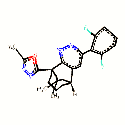 Cc1nnc([C@@]23CC[C@@H](c4cc(-c5c(F)cccc5F)nnc42)C3(C)C)o1